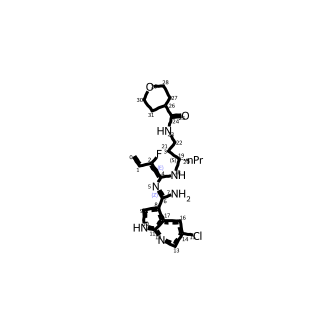 C=C/C(F)=C(\N=C(/N)c1c[nH]c2ncc(Cl)cc12)N[C@@H](CCC)CCNC(=O)C1CCOCC1